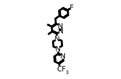 Cc1c(Cc2ccc(F)cc2)nnc(N2CCN(c3ccc(C(F)(F)F)cn3)CC2)c1C